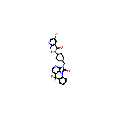 Cc1ncc(Cl)cc1C(=O)NC1CCC(Cn2c(=O)n3c4c(ccnc42)C(F)(F)c2ccccc2-3)CC1